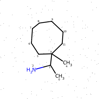 CC(N)C1(C)CCCCCCC1